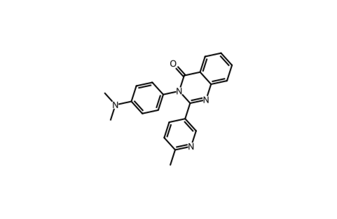 Cc1ccc(-c2nc3ccccc3c(=O)n2-c2ccc(N(C)C)cc2)cn1